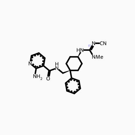 CN/C(=N\C#N)N[C@H]1CC[C@](CNC(=O)c2cccnc2N)(c2ccccc2)CC1